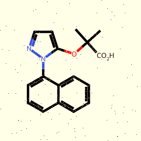 CC(C)(Oc1ccnn1-c1cccc2ccccc12)C(=O)O